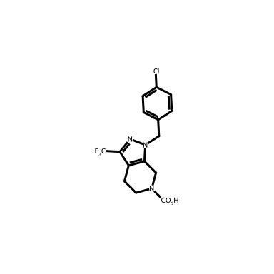 O=C(O)N1CCc2c(C(F)(F)F)nn(Cc3ccc(Cl)cc3)c2C1